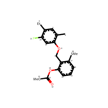 CCc1cc(C)c(OCc2c(OC(=O)OC)cccc2SC)cc1F